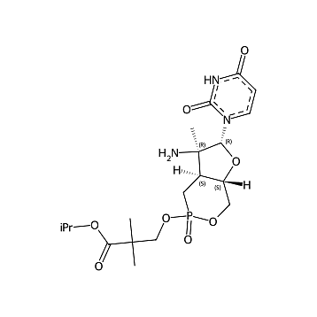 CC(C)OC(=O)C(C)(C)COP1(=O)C[C@@H]2[C@@H](CO1)O[C@@H](n1ccc(=O)[nH]c1=O)[C@]2(C)N